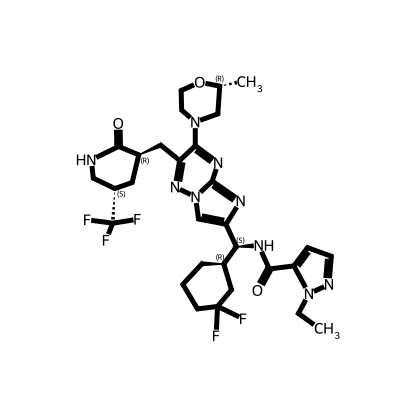 CCn1nccc1C(=O)N[C@H](c1cn2nc(C[C@H]3C[C@H](C(F)(F)F)CNC3=O)c(N3CCO[C@H](C)C3)nc2n1)[C@@H]1CCCC(F)(F)C1